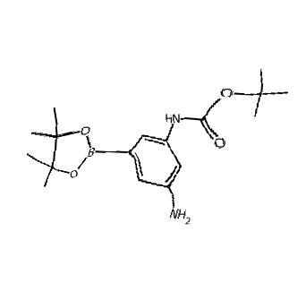 CC(C)(C)OC(=O)Nc1cc(N)cc(B2OC(C)(C)C(C)(C)O2)c1